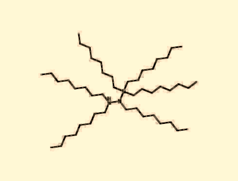 CCCCCCCCN([SiH](CCCCCCCC)CCCCCCCC)[Si](CCCCCCCC)(CCCCCCCC)CCCCCCCC